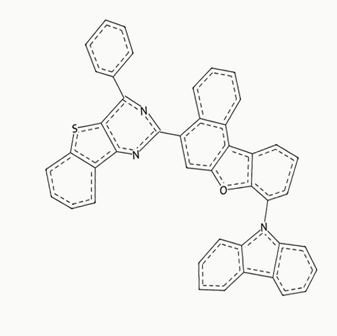 c1ccc(-c2nc(-c3cc4oc5c(-n6c7ccccc7c7ccccc76)cccc5c4c4ccccc34)nc3c2sc2ccccc23)cc1